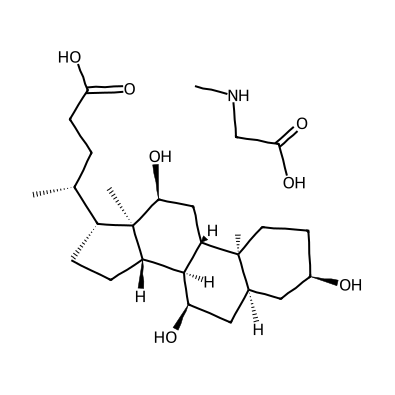 CNCC(=O)O.C[C@H](CCC(=O)O)[C@H]1CC[C@H]2[C@@H]3[C@H](O)C[C@@H]4C[C@H](O)CC[C@]4(C)[C@H]3C[C@H](O)[C@]12C